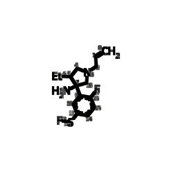 C=CCN1CC(CC)C(N)(c2cc(SF)ccc2F)C1